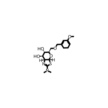 COC1=CCCC(COC[C@H]2O[C@@H]3SC(N(C)C)=N[C@@H]3[C@@H](O)[C@@H]2O)=C1